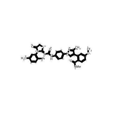 CNC(=O)c1ccc(OC(F)(F)F)cc1-c1cn(-c2ccc(NC(=O)/N=C3\SCC(=O)N3c3cc(C)ccc3C(C)C)cc2)nc1C